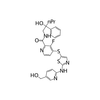 CCCC(O)(CNC(=O)c1nccc(Sc2cnc(Nc3ccc(CO)cn3)s2)c1F)c1ccccc1